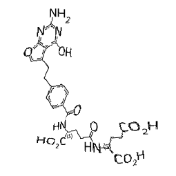 Nc1nc(O)c2c(CCc3ccc(C(=O)N[C@@H](CCC(=O)N[C@@H](CCC(=O)O)C(=O)O)C(=O)O)cc3)coc2n1